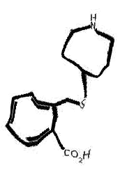 O=C(O)c1ccccc1SC1CCNCC1